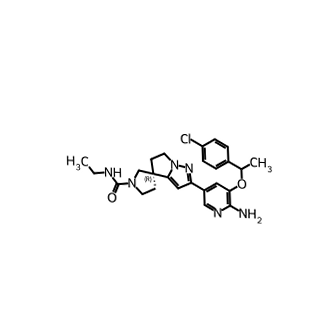 CCNC(=O)N1CC[C@@]2(CCn3nc(-c4cnc(N)c(OC(C)c5ccc(Cl)cc5)c4)cc32)C1